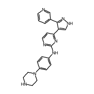 c1cncc(-c2n[nH]cc2-c2ccnc(Nc3ccc(N4CCNCC4)cc3)n2)c1